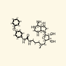 CN(CCCNC(=O)Nc1ccc(Oc2ccccc2)cc1)C[C@H]1O[C@@H](N2CNC3C(N)NCNC32)[C@H](O)[C@@H]1O